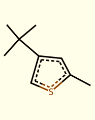 Cc1cc(C(C)(C)C)cs1